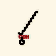 CCCCCCCCCCCCCCCC(C)O[C@@H](O)C1=CCCCC1